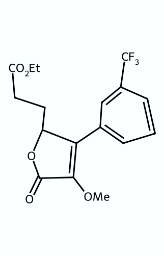 CCOC(=O)CCC1OC(=O)C(OC)=C1c1cccc(C(F)(F)F)c1